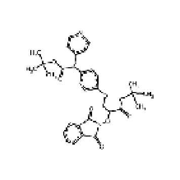 CC(C)(C)OC(=O)C(COc1ccc(N(C(=O)OC(C)(C)C)c2ccncc2)nc1)ON1C(=O)c2ccccc2C1=O